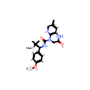 COC(C)(C)C(NC(=O)N1CC(=O)Nc2cc(C)cnc21)c1ccc(OC(F)(F)F)cc1